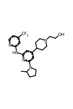 CC1CCCN1c1cc(C2CCN(CCO)CC2)cc(Nc2cc(C(F)(F)F)ccn2)n1